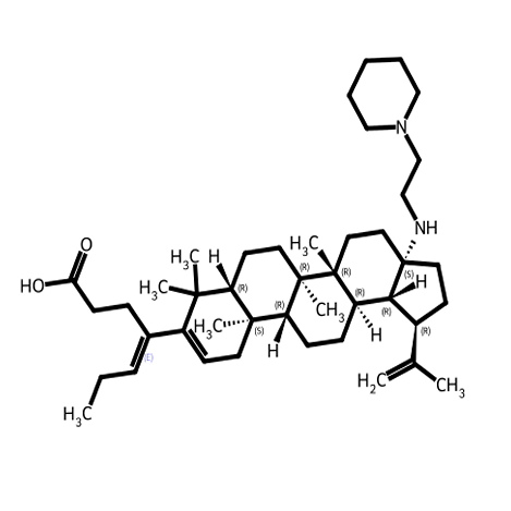 C=C(C)[C@@H]1CC[C@]2(NCCN3CCCCC3)CC[C@]3(C)[C@H](CC[C@@H]4[C@@]5(C)CC=C(/C(=C/CC)CCC(=O)O)C(C)(C)[C@@H]5CC[C@]43C)[C@@H]12